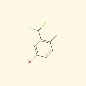 [CH2]c1ccc(Br)cc1C(F)F